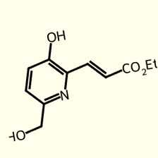 CCOC(=O)C=Cc1nc(CO)ccc1O